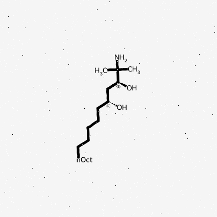 CCCCCCCCCCCCC[C@@H](O)C[C@H](O)C(C)(C)N